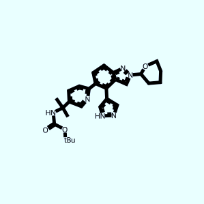 CC(C)(C)OC(=O)NC(C)(C)c1ccc(-c2ccc3nn(C4CCCCO4)cc3c2-c2cn[nH]c2)nc1